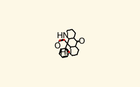 O=C1C2CCCNC2C2(c3ccccc3Oc3ccccc32)C2NCCCC12